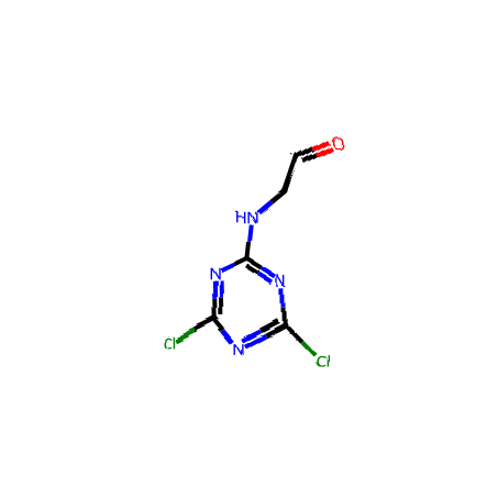 O=[C]CNc1nc(Cl)nc(Cl)n1